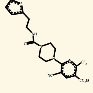 CCOC(=O)c1cc(C#N)c(N2CCN(C(=O)NCCc3cccs3)CC2)nc1C(F)(F)F